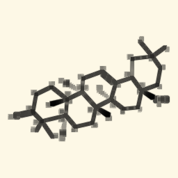 CC1(C)CC[C@]2(C=O)CC[C@]3(C)C(=CC[C@@H]4[C@@]5(C)CCC(=O)C(C)(C)[C@@H]5CC[C@]43C)C2C1